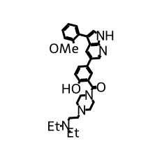 CCN(CC)CCN1CCN(C(=O)c2cc(-c3cnc4[nH]cc(-c5ccccc5OC)c4c3)ccc2O)CC1